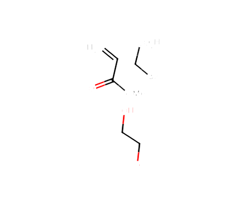 C=CC(=O)OC.CC(=O)CC(=O)O.OCCO